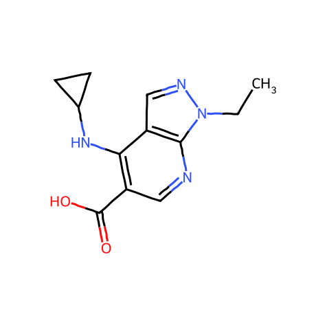 CCn1ncc2c(NC3CC3)c(C(=O)O)cnc21